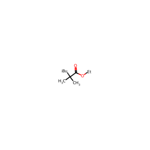 CCOC(=O)C(C)(C)C(C)CC